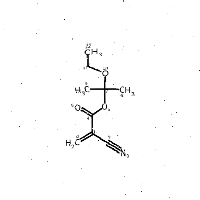 C=C(C#N)C(=O)OC(C)(C)OCC